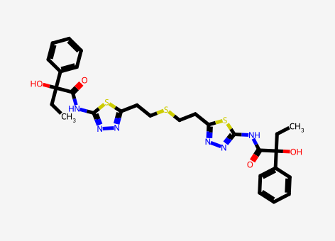 CCC(O)(C(=O)Nc1nnc(CCSCCc2nnc(NC(=O)C(O)(CC)c3ccccc3)s2)s1)c1ccccc1